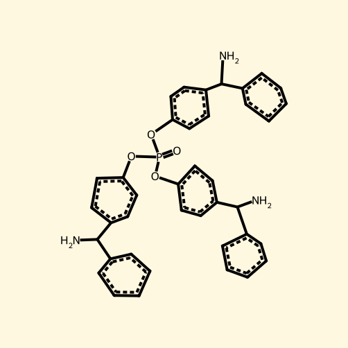 NC(c1ccccc1)c1ccc(OP(=O)(Oc2ccc(C(N)c3ccccc3)cc2)Oc2ccc(C(N)c3ccccc3)cc2)cc1